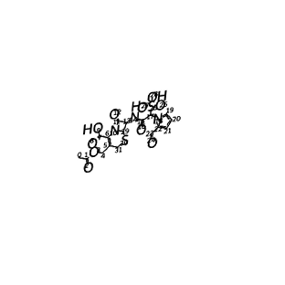 CC(=O)OCC1=C(C(=O)O)N2C(=O)C(NC(=O)C(n3cccc3C=O)S(=O)(=O)O)C2SC1